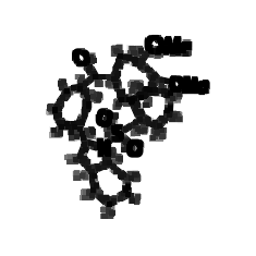 COc1ccc(C(=O)c2cccc(-c3cc4ccccc4n3S(=O)(=O)c3ccccc3)c2)cc1OC